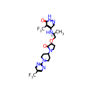 C[C@@H](CO[C@@H]1CCN(C2CCN(c3ncc(C(F)(F)F)cn3)CC2)C1=O)Nc1cn[nH]c(=O)c1C(F)(F)F